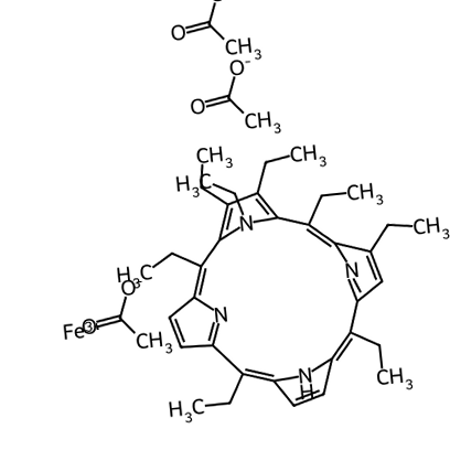 CC(=O)[O-].CC(=O)[O-].CC(=O)[O-].CCC1=Cc2nc1c(CC)c1c(CC)c(CC)c(c(CC)c3nc(c(CC)c4ccc([nH]4)c2CC)C=C3)n1CC.[Fe+3]